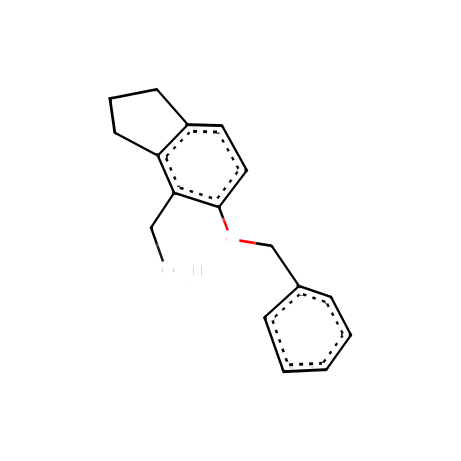 O=C(O)Cc1c(OCc2ccccc2)ccc2c1CCC2